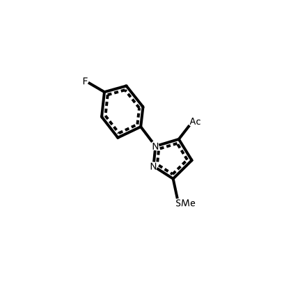 CSc1cc(C(C)=O)n(-c2ccc(F)cc2)n1